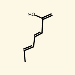 C=C(O)/C=C/C=C/C